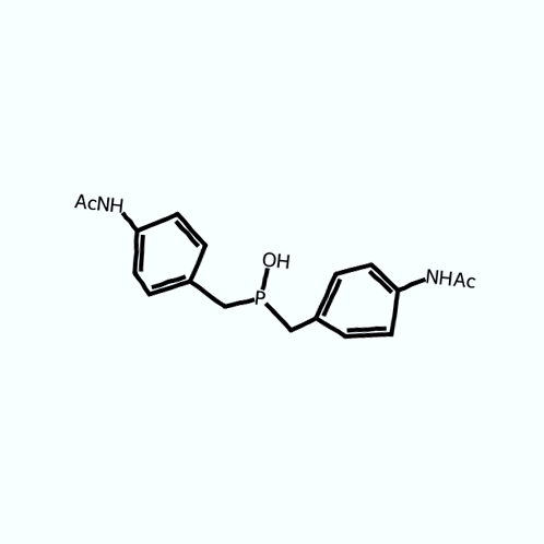 CC(=O)Nc1ccc(CP(O)Cc2ccc(NC(C)=O)cc2)cc1